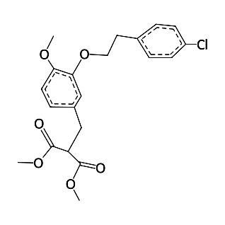 COC(=O)C(Cc1ccc(OC)c(OCCc2ccc(Cl)cc2)c1)C(=O)OC